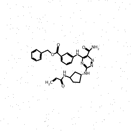 C=CC(=O)NC1CC[C@@H](Nc2nnc(C(N)=O)c(Nc3cccc(C(=O)OCc4ccccc4)c3)n2)C1